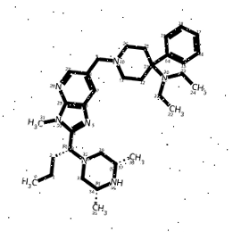 CCC[C@H](c1nc2cc(CN3CCC(c4ccccc4)(N(CC)CC)CC3)cnc2n1C)N1C[C@@H](C)N[C@@H](C)C1